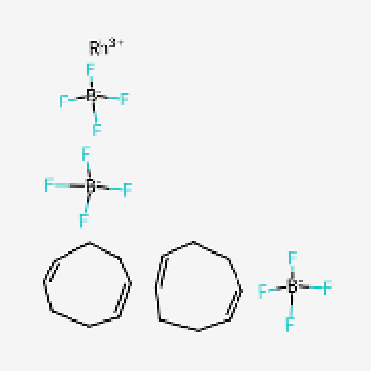 C1=CCCC=CCC1.C1=CCCC=CCC1.F[B-](F)(F)F.F[B-](F)(F)F.F[B-](F)(F)F.[Rh+3]